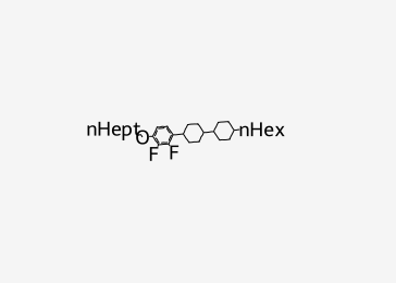 CCCCCCCOc1ccc(C2CCC(C3CCC(CCCCCC)CC3)CC2)c(F)c1F